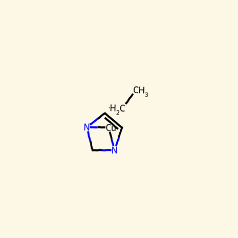 C1=C[N]2C[N]1[Cu]2.[CH2]C